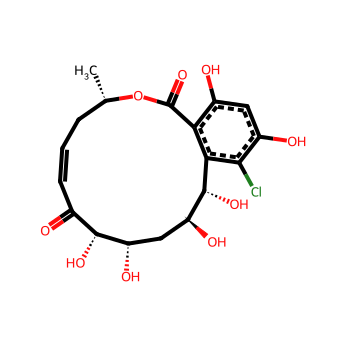 C[C@H]1C/C=C\C(=O)[C@@H](O)[C@@H](O)C[C@H](O)[C@@H](O)c2c(Cl)c(O)cc(O)c2C(=O)O1